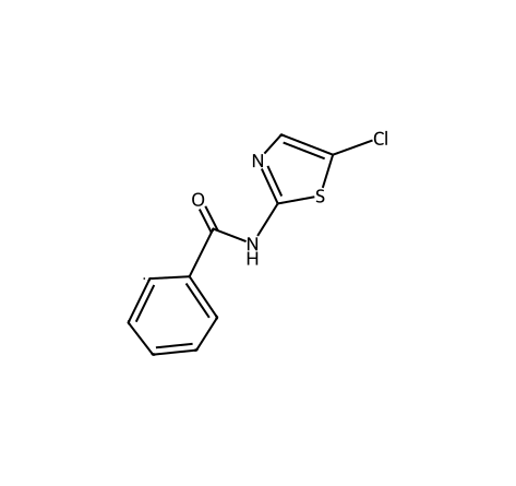 O=C(Nc1ncc(Cl)s1)c1[c]cccc1